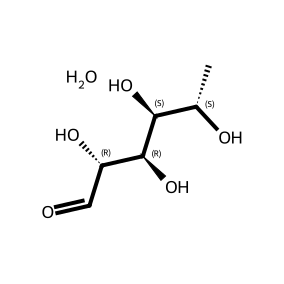 C[C@H](O)[C@H](O)[C@@H](O)[C@@H](O)C=O.O